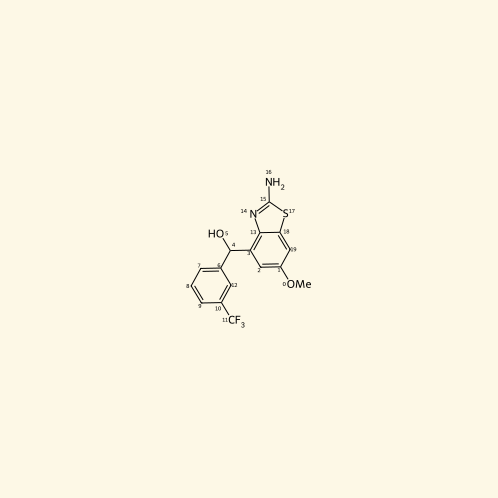 COc1cc(C(O)c2cccc(C(F)(F)F)c2)c2nc(N)sc2c1